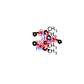 CC[C@H]1C=C[C@@H](NC(=O)OCc2ccccc2)[C@@H](O[C@H]2[C@@H](O)[C@H](O[C@@H]3[C@@H](O)[C@H](NC(=O)OCc4ccccc4)C[C@H](C)[C@H]3O[C@H]3O[C@H](CC)C=C[C@H]3NC(=O)OCc3ccccc3)O[C@@H]2CC)O1